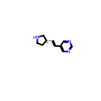 C(=C\[C@@H]1CCNC1)/c1cncnc1